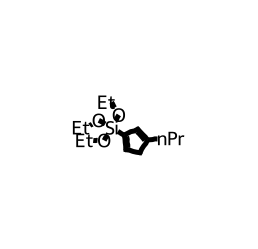 CCCC1=CC([Si](OCC)(OCC)OCC)=CC1